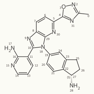 Cc1noc(-c2ccc3nc(-c4cccnc4N)n(-c4ccc5c(c4)CC[C@@H]5N)c3n2)n1